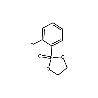 O=P1(c2ccccc2F)OCCO1